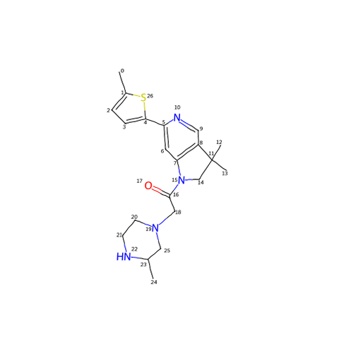 Cc1ccc(-c2cc3c(cn2)C(C)(C)CN3C(=O)CN2CCNC(C)C2)s1